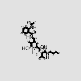 CCCCNC(=O)[C@@H](C[C@H](O)[C@@H](N)C[C@H](CNC(=O)c1ccccc1NC(C)=O)C(C)C)C(C)C.Cl